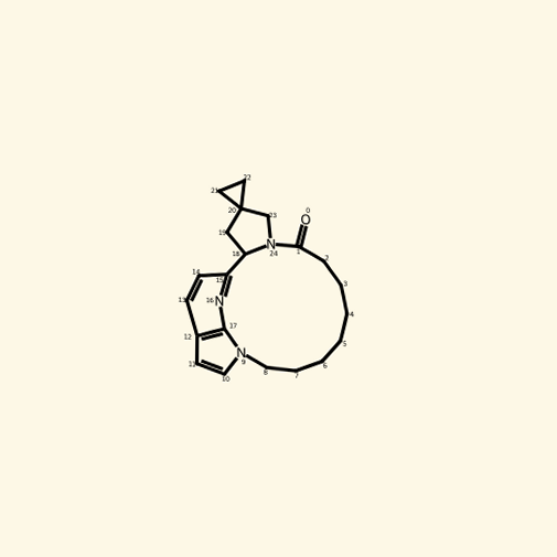 O=C1CCCCCCCn2ccc3ccc(nc32)C2CC3(CC3)CN12